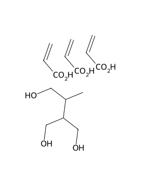 C=CC(=O)O.C=CC(=O)O.C=CC(=O)O.CC(CO)C(CO)CO